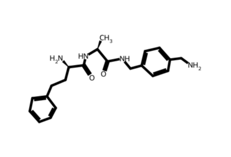 C[C@H](NC(=O)[C@H](N)CCc1ccccc1)C(=O)NCc1ccc(CN)cc1